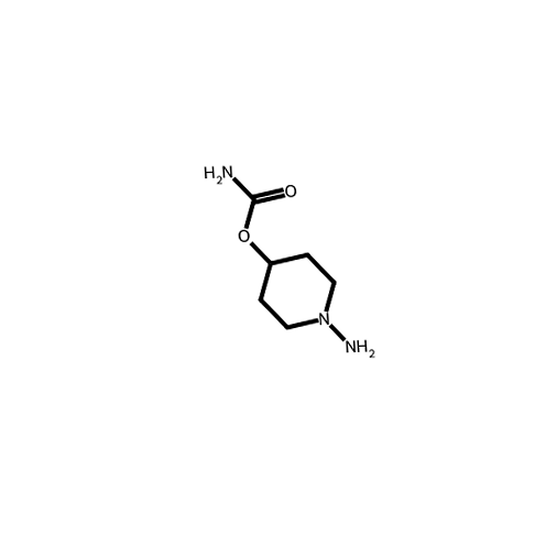 NC(=O)OC1CCN(N)CC1